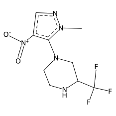 Cn1ncc([N+](=O)[O-])c1N1CCNC(C(F)(F)F)C1